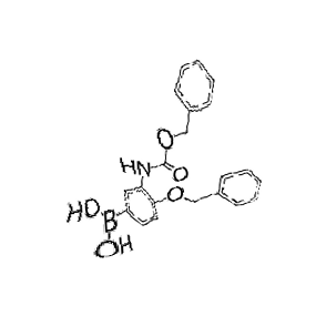 O=C(Nc1cc(B(O)O)ccc1OCc1ccccc1)OCc1ccccc1